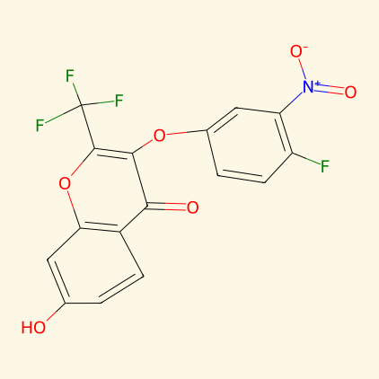 O=c1c(Oc2ccc(F)c([N+](=O)[O-])c2)c(C(F)(F)F)oc2cc(O)ccc12